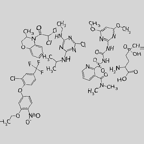 CC1COc2ccccc2N1C(=O)C(Cl)Cl.CCNc1nc(Cl)nc(NC(C)C)n1.CCOc1cc(Oc2ccc(C(F)(F)F)cc2Cl)ccc1[N+](=O)[O-].COc1cc(OC)nc(NC(=O)NS(=O)(=O)c2ncccc2C(=O)N(C)C)n1.CP(=O)(O)CCC(N)C(=O)O